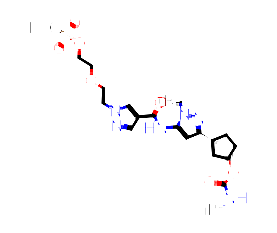 CC(C)NC(=O)O[C@@H]1CC[C@H](c2cc(NC(=O)c3cnn(CCOCCOS(C)(=O)=O)c3)n(C(C)(C)C)n2)C1